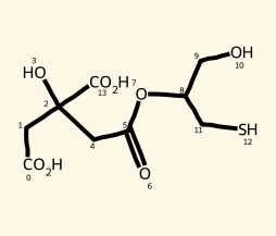 O=C(O)CC(O)(CC(=O)OC(CO)CS)C(=O)O